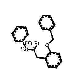 CCOC(=O)C(Cc1ccccc1OCc1ccccc1)Nc1ccccc1